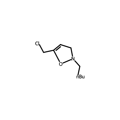 CCCCCN1CC=C(CCl)O1